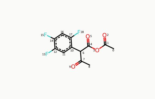 CC(=O)OC(=O)C(C(C)=O)c1cc(F)c(F)cc1F